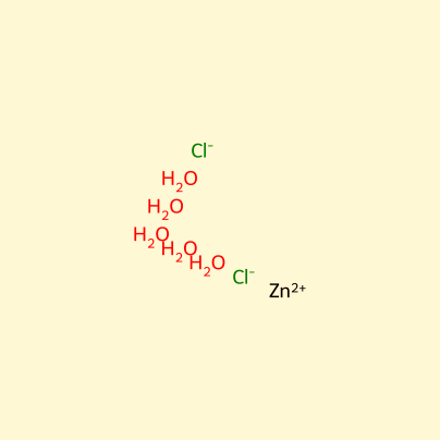 O.O.O.O.O.[Cl-].[Cl-].[Zn+2]